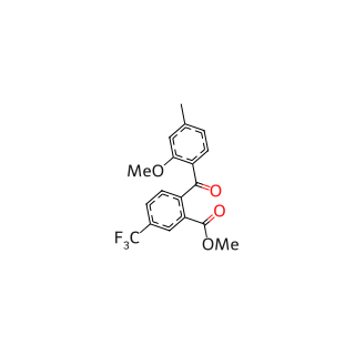 COC(=O)c1cc(C(F)(F)F)ccc1C(=O)c1ccc(C)cc1OC